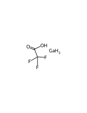 O=C(O)C(F)(F)F.[GaH3]